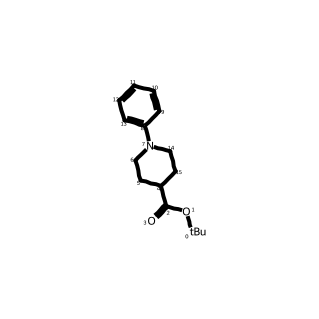 CC(C)(C)OC(=O)C1CCN(c2[c]cccc2)CC1